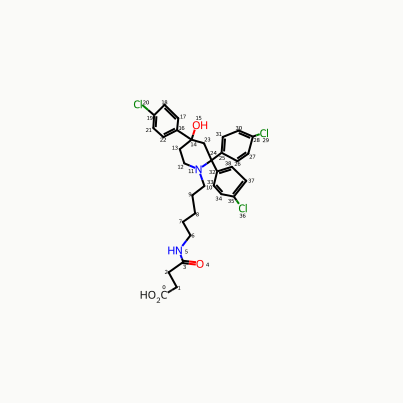 O=C(O)CCC(=O)NCCCCCN1CCC(O)(c2ccc(Cl)cc2)CC1(c1ccc(Cl)cc1)c1ccc(Cl)cc1